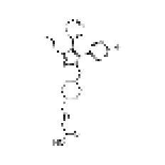 CCCc1nn(C[C@H]2CC[C@H](COCC(=O)O)CC2)c(-c2ccc(F)cc2)c1-c1ccccc1